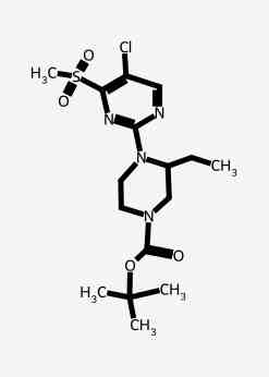 CCC1CN(C(=O)OC(C)(C)C)CCN1c1ncc(Cl)c(S(C)(=O)=O)n1